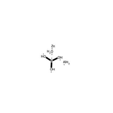 O.OB(O)O.[AlH3].[Zn]